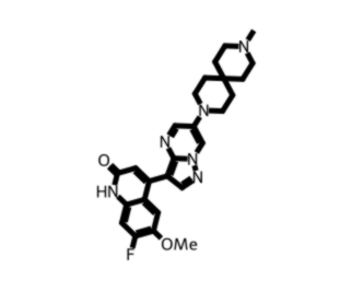 COc1cc2c(-c3cnn4cc(N5CCC6(CCN(C)CC6)CC5)cnc34)cc(=O)[nH]c2cc1F